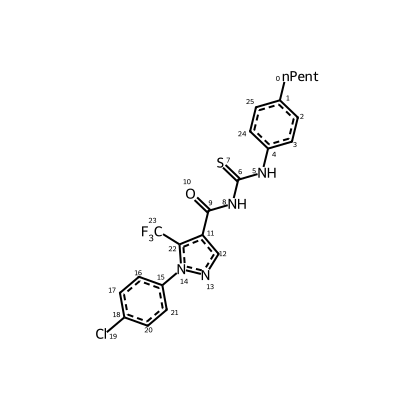 CCCCCc1ccc(NC(=S)NC(=O)c2cnn(-c3ccc(Cl)cc3)c2C(F)(F)F)cc1